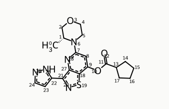 C[C@@H]1COCCN1c1cc(OC(=O)C2CCCC2)c2snc(-c3ccn[nH]3)c2n1